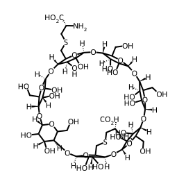 N[C@H](CSCC1O[C@@H]2O[C@@H]3C(CO)O[C@@H](O[C@@H]4C(CO)O[C@@H](O[C@@H]5C(CSC[C@@H](N)C(=O)O)O[C@@H](O[C@@H]6C(CO)O[C@H](O[C@@H]7C(CO)O[C@H](O[C@@H]8C(CO)O[C@H](O[C@H]1[C@H](O)C2O)C(O)[C@H]8O)C(O)[C@H]7O)C(O)[C@H]6O)C(O)[C@H]5O)C(O)[C@@H]4O)C(O)[C@H]3O)C(=O)O